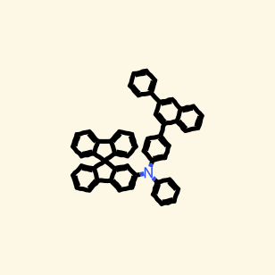 c1ccc(-c2cc(-c3ccc(N(c4ccccc4)c4ccc5c(c4)C4(c6ccccc6-c6ccccc64)c4ccccc4-5)cc3)c3ccccc3c2)cc1